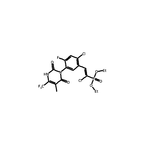 CCOP(=O)(OCC)C(Cl)=Cc1cc(-n2c(=O)[nH]c(C(F)(F)F)c(C)c2=O)c(F)cc1Cl